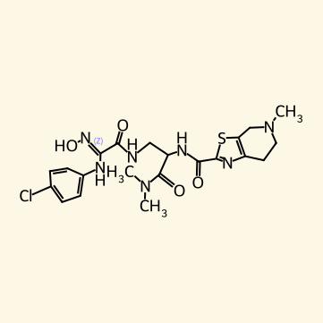 CN1CCc2nc(C(=O)NC(CNC(=O)/C(=N/O)Nc3ccc(Cl)cc3)C(=O)N(C)C)sc2C1